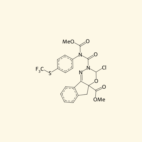 COC(=O)N(C(=O)N1N=C2c3ccccc3CC2(C(=O)OC)OC1Cl)c1ccc(SC(F)(F)F)cc1